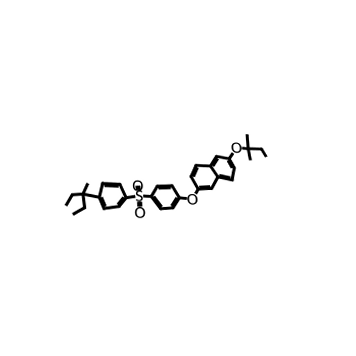 CCC(C)(C)Oc1ccc2cc(Oc3ccc(S(=O)(=O)c4ccc(C(C)(CC)CC)cc4)cc3)ccc2c1